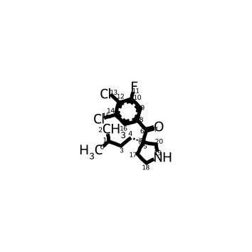 CC(C)CC[C@@]1(C(=O)c2cc(F)c(Cl)c(Cl)c2)CCNC1